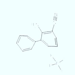 F[B-](F)(F)F.N#[N+]c1cccc(-c2ccccc2)c1N